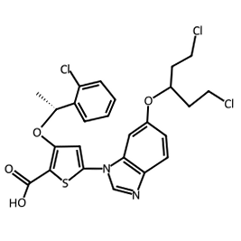 C[C@@H](Oc1cc(-n2cnc3ccc(OC(CCCl)CCCl)cc32)sc1C(=O)O)c1ccccc1Cl